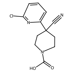 N#CC1(c2cccc(Cl)n2)CCN(C(=O)O)CC1